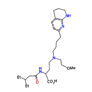 CCC(CC)CC(=O)NC(CCN(CCCCc1ccc2c(n1)NCCC2)CCOC)C(=O)O